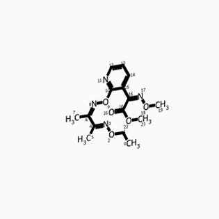 CCON=C(C)C(C)=NOc1ncccc1C(=NOC)C(=O)OC